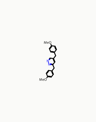 COc1ccc(Cc2cnnc(Cc3ccc(OC)cc3)c2)cc1